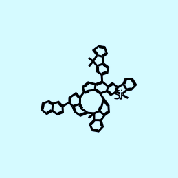 CC1(C)c2ccccc2-c2ccc(-c3c4ccc5cc4c(c4cc6c(cc34)-c3ccccc3[Si]6(C)C)-c3ccc4c(c3)C(C)(c3ccc6c(-c7ccc8ccccc8c7)ccc-5c6c3)c3ccccc3-4)cc21